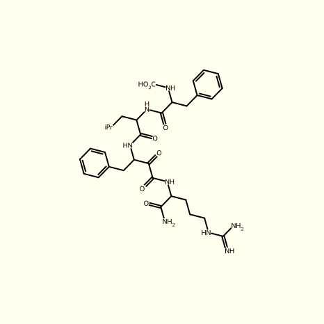 CC(C)CC(NC(=O)C(Cc1ccccc1)NC(=O)O)C(=O)NC(Cc1ccccc1)C(=O)C(=O)NC(CCCNC(=N)N)C(N)=O